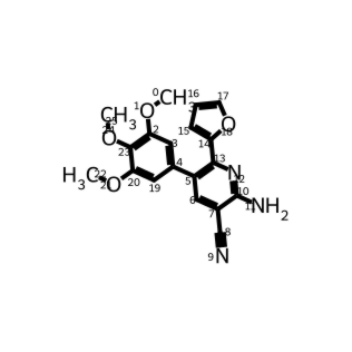 COc1cc(-c2cc(C#N)c(N)nc2-c2ccco2)cc(OC)c1OC